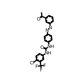 CC(=O)c1cccc(N=Nc2ccc(NC(=O)Nc3ccc(Cl)c(C(F)(F)F)c3)cc2)c1